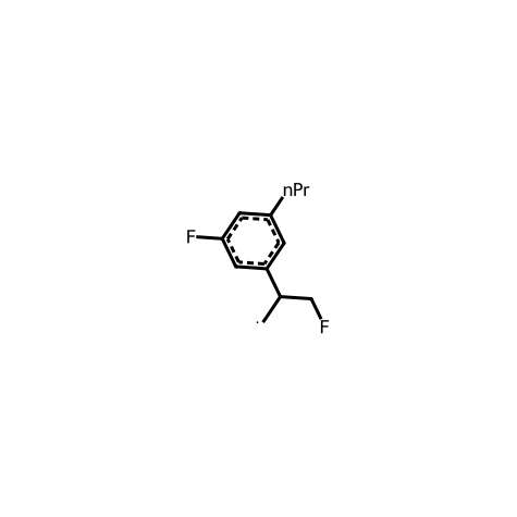 [CH2]C(CF)c1cc(F)cc(CCC)c1